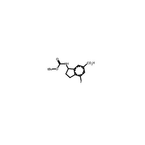 CC(C)(C)OC(=O)NC1CCc2c(F)cc(C(=O)O)cc21